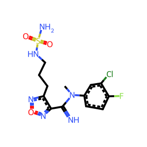 CN(C(=N)c1nonc1CCCNS(N)(=O)=O)c1ccc(F)c(Cl)c1